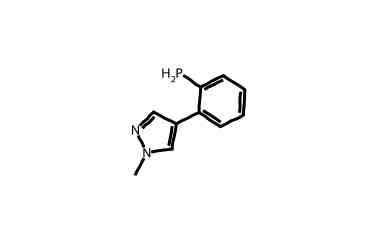 Cn1cc(-c2ccccc2P)cn1